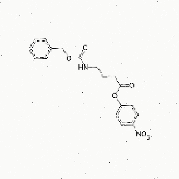 O=C(CCCNC(=O)OCc1ccccc1)Oc1ccc([N+](=O)[O-])cc1